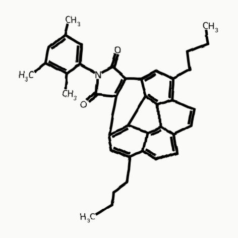 CCCCc1cc2c3c(=O)n(-c4cc(C)cc(C)c4C)c(=O)c3c3cc(CCCC)c4ccc5ccc1c1c5c4c3c21